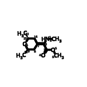 CNC(C(=O)OC)=C1C[C@@H](C)O[C@H](C)C1